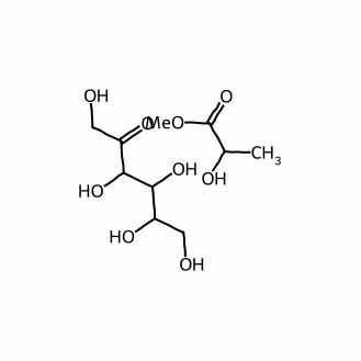 COC(=O)C(C)O.O=C(CO)C(O)C(O)C(O)CO